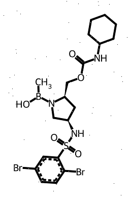 CB(O)N1C[C@H](NS(=O)(=O)c2cc(Br)ccc2Br)C[C@@H]1COC(=O)NC1CCCCC1